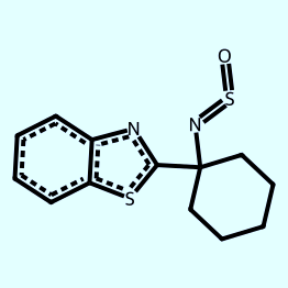 O=S=NC1(c2nc3ccccc3s2)CCCCC1